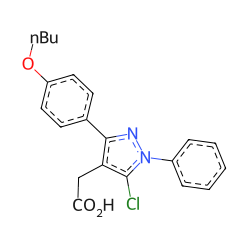 CCCCOc1ccc(-c2nn(-c3ccccc3)c(Cl)c2CC(=O)O)cc1